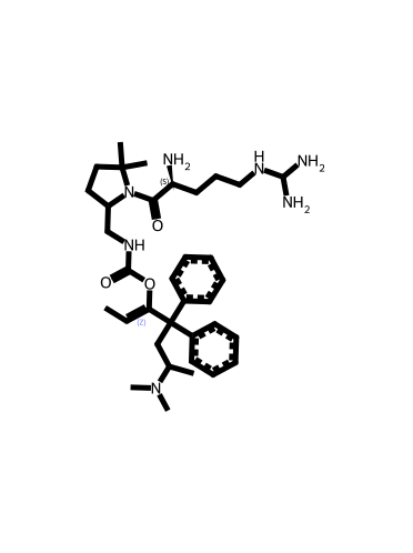 C/C=C(\OC(=O)NCC1CCC(C)(C)N1C(=O)[C@@H](N)CCCNC(N)N)C(CC(C)N(C)C)(c1ccccc1)c1ccccc1